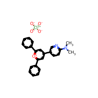 CN(C)c1ccc(-c2cc(-c3ccccc3)[o+]c(-c3ccccc3)c2)cn1.[O-][Cl+3]([O-])([O-])[O-]